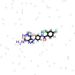 CC(C)NC(=O)c1c(C(N)=O)ncn1-c1ccc(NC(=O)c2ccc(F)cc2Cl)cc1